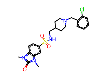 Cn1c(=O)n(C)c2cc(S(=O)(=O)NCC3CCN(Cc4ccccc4Cl)CC3)ccc21